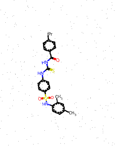 Cc1ccc(NS(=O)(=O)c2ccc(NC(=S)NC(=O)c3ccc(C(C)C)cc3)cc2)c(C)c1